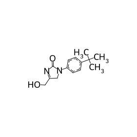 CC(C)(C)c1ccc(N2CC(CO)=NC2=O)cc1